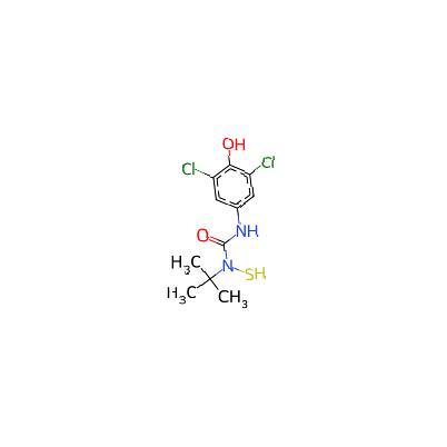 CC(C)(C)N(S)C(=O)Nc1cc(Cl)c(O)c(Cl)c1